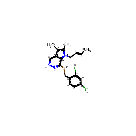 C/C=C/Cn1c(C)c(C)c2cnnc(SCc3ccc(Cl)cc3Cl)c21